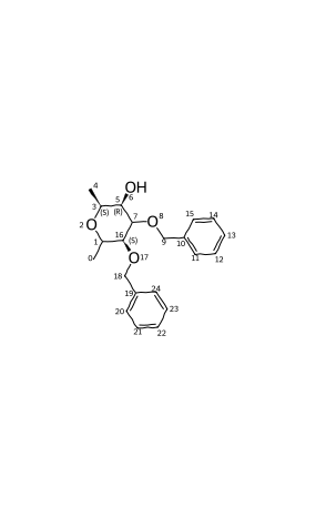 CC1O[C@@H](C)[C@@H](O)C(OCc2ccccc2)[C@H]1OCc1ccccc1